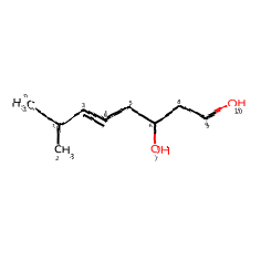 CC(C)/C=C/CC(O)CCO